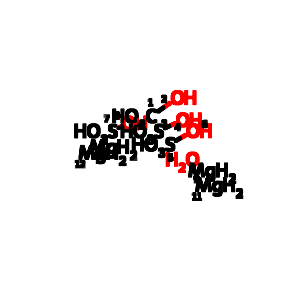 O.O=C(O)O.O=S(=O)(O)O.O=S(=O)(O)O.O=S(=O)(O)O.[MgH2].[MgH2].[MgH2].[MgH2]